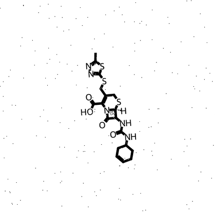 Cc1nnc(SCC2=C(C(=O)O)N3C(=O)C(NC(=O)NC4CC=CCC4)[C@@H]3SC2)s1